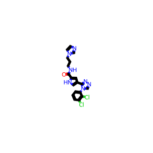 O=C(NCCCn1ccnc1)c1cc(-c2nncn2-c2cccc(Cl)c2Cl)c[nH]1